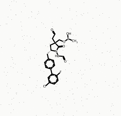 CB(O)OCC1(CC=O)C[C@@H](Cc2ccc(-c3cc(Cl)ccc3F)cc2)N(BC=O)C1=O